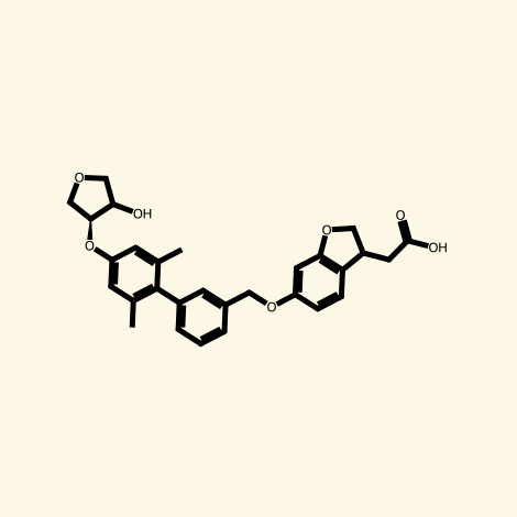 Cc1cc(O[C@H]2COCC2O)cc(C)c1-c1cccc(COc2ccc3c(c2)OCC3CC(=O)O)c1